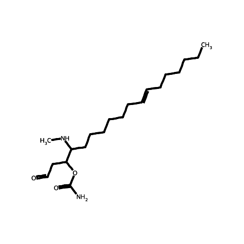 CCCCCCC=CCCCCCCC(NC)C(CC=O)OC(N)=O